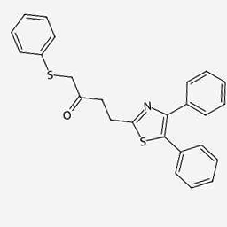 O=C(CCc1nc(-c2ccccc2)c(-c2ccccc2)s1)CSc1ccccc1